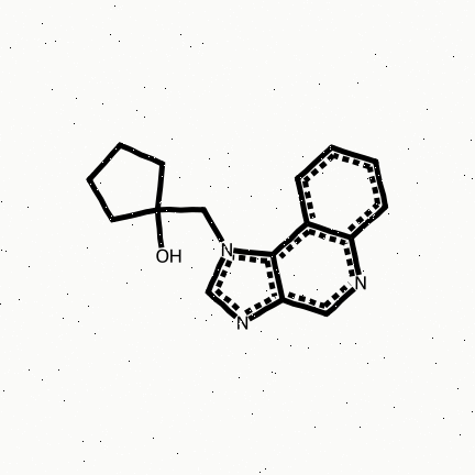 OC1(Cn2cnc3cnc4ccccc4c32)CCCC1